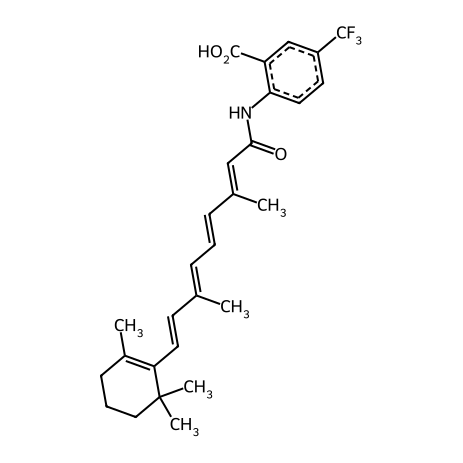 CC1=C(/C=C/C(C)=C/C=C/C(C)=C/C(=O)Nc2ccc(C(F)(F)F)cc2C(=O)O)C(C)(C)CCC1